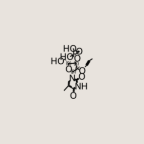 CC#CO[C@@H]1[C@H](OP(=O)(O)O)[C@@H](CO)O[C@H]1n1cc(C)c(=O)[nH]c1=O